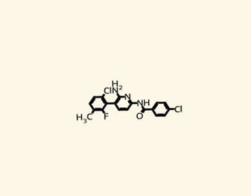 Cc1ccc(Cl)c(-c2ccc(NC(=O)c3ccc(Cl)cc3)nc2N)c1F